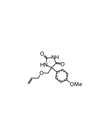 C=CCOCC1(c2ccc(OC)cc2)NC(=O)NC1=O